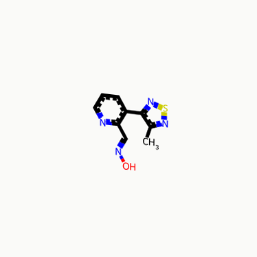 Cc1nsnc1-c1cccnc1C=NO